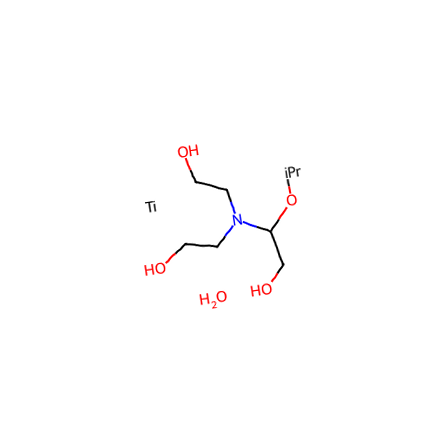 CC(C)OC(CO)N(CCO)CCO.O.[Ti]